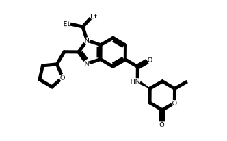 CCC(CC)n1c(CC2CCCO2)nc2cc(C(=O)N[C@@H]3CC(=O)OC(C)C3)ccc21